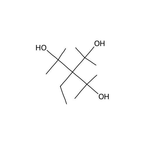 CCC(C(C)(C)O)(C(C)(C)O)C(C)(C)O